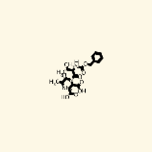 CC(N)C(=O)N(C(=O)C(NC(=O)OCc1ccccc1)C(C)C)C(CC(=O)O)C(=O)O